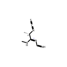 CN/C(=N\C=N)[C@H](C)N=C=S